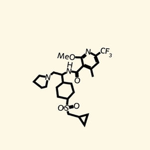 COc1nc(C(F)(F)F)cc(C)c1C(=O)NC(CN1CCCC1)C1CCC(S(=O)(=O)CC2CC2)CC1